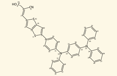 N#C/C(=C\c1cc2sc(-c3ccc(N(c4ccccc4)c4ccc(N(c5ccccc5)c5ccccc5)cc4)cc3)cc2s1)C(=O)O